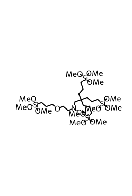 CO[Si](CCCOCCN(C)CC(CCC[Si](OC)(OC)OC)(CCC[Si](OC)(OC)OC)CCC[Si](OC)(OC)OC)(OC)OC